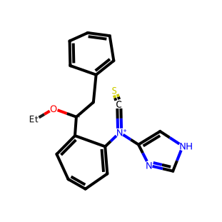 CCO[C](Cc1ccccc1)c1ccccc1[N+](=C=S)c1c[nH]cn1